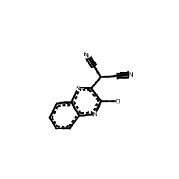 N#CC(C#N)c1nc2ccccc2nc1Cl